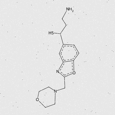 NCCC(S)c1ccc2oc(CN3CCOCC3)nc2c1